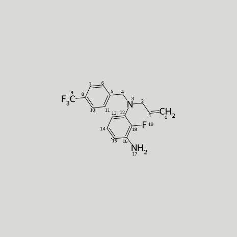 C=CCN(Cc1ccc(C(F)(F)F)cc1)c1cc[c]c(N)c1F